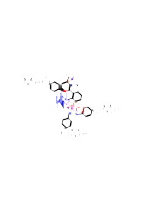 COc1ccc(CN(Cc2ccc(OC)cc2)S(=O)(=O)c2cccc(-c3cccc4scnc34)c2-c2nnnn2Cc2ccc(OC)cc2)cc1